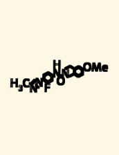 COc1ccc2c(c1)CCN(C(=O)Nc1ccc(-n3cnc(C)c3)c(F)c1)C2